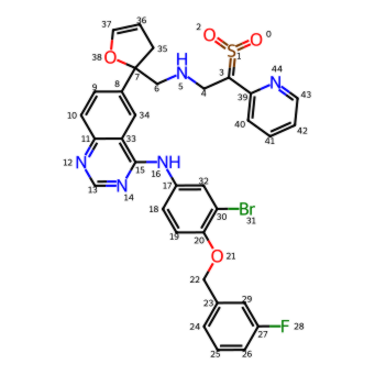 O=S(=O)=C(CNCC1(c2ccc3ncnc(Nc4ccc(OCc5cccc(F)c5)c(Br)c4)c3c2)CC=CO1)c1ccccn1